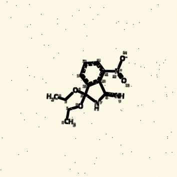 CCOC1(OCC)NC(=N)c2c([N+](=O)[O-])cccc21